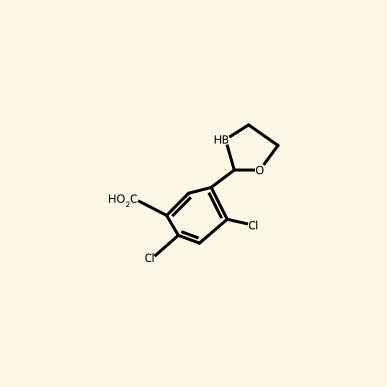 O=C(O)c1cc(C2BCCO2)c(Cl)cc1Cl